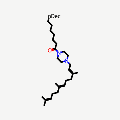 CCCCCCCCCCCCCCCCC(=O)N1CCN(C/C=C(\C)CC/C=C(\C)CCC=C(C)C)CC1